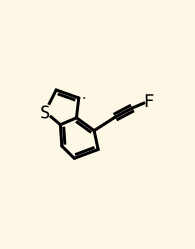 FC#Cc1cccc2sc[c]c12